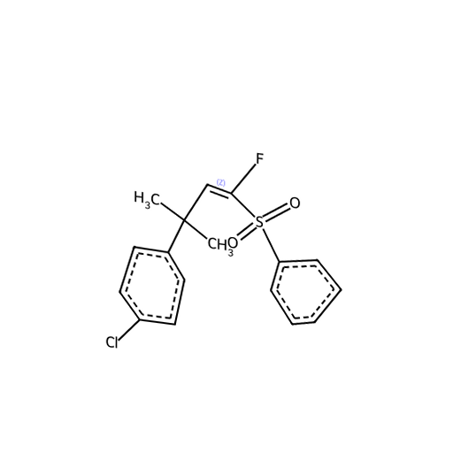 CC(C)(/C=C(/F)S(=O)(=O)c1ccccc1)c1ccc(Cl)cc1